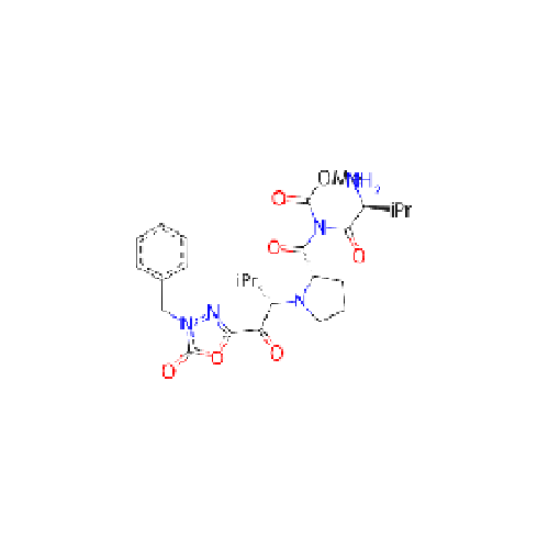 COC(=O)N(C(=O)[C@@H](N)C(C)C)C(=O)[C@@H]1CCCN1[C@H](C(=O)c1nn(Cc2ccccc2)c(=O)o1)C(C)C